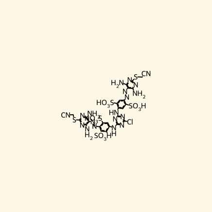 [C-]#[N+]CSc1nc(N)c(/N=N/c2cc(S(=O)(=O)O)c(Nc3nc(Cl)nc(Nc4cc(S(=O)(=O)O)c(/N=N/c5c(N)nc(SCC#N)nc5N)cc4S(=O)(=O)O)n3)cc2S(=O)(=O)O)c(N)n1